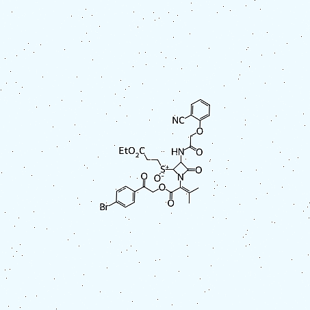 CCOC(=O)CC[S+]([O-])C1C(NC(=O)COc2ccccc2C#N)C(=O)N1C(C(=O)OCC(=O)c1ccc(Br)cc1)=C(C)C